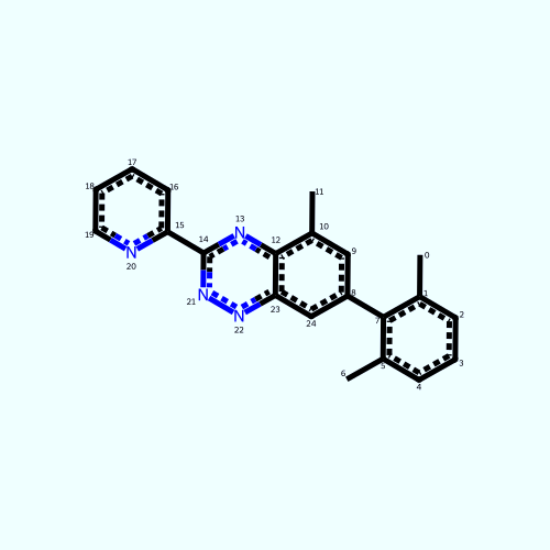 Cc1cccc(C)c1-c1cc(C)c2nc(-c3ccccn3)nnc2c1